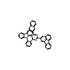 c1ccc2c(c1)-c1cccc3cc(-c4nc(-c5ccc6ccccc6c5)nc(-c5ccccc5-n5c6ccccc6c6ccccc65)n4)cc-2c13